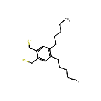 CCCCCc1cc(CS)c(CS)cc1CCCCC